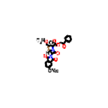 COc1ccc2c(c1)C(=O)N(C1C(=O)N3C(C(=O)OCC(=O)c4ccccc4)[C@](C)(CO[N+](=O)[O-])S[C@@H]13)C2=O